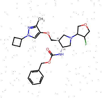 Cc1nn(C2CCC2)cc1OC[C@H]1CN(C2COCC2F)C[C@@H]1NC(=O)OCc1ccccc1